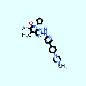 CC(=O)c1c(C)c2cnc(Nc3ccc(C4CCC(N5CCN(C)CC5)CC4)cn3)nc2n(C2CCCC2)c1=O